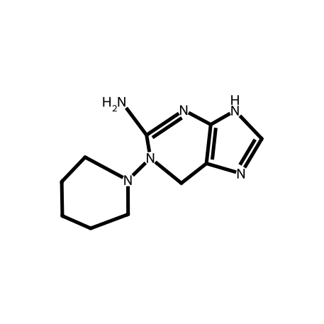 NC1=Nc2[nH]cnc2CN1N1CCCCC1